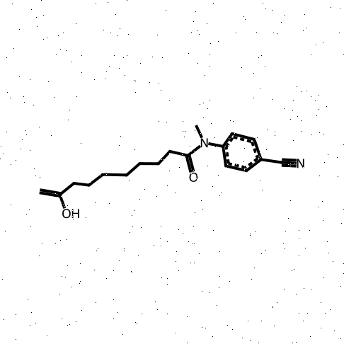 C=C(O)CCCCCCCC(=O)N(C)c1ccc(C#N)cc1